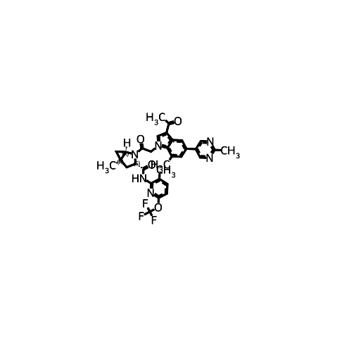 CC(=O)c1cn(CC(=O)N2[C@H](C(=O)Nc3nc(OC(F)(F)F)ccc3C)C[C@@]3(C)C[C@@H]23)c2c(C)cc(-c3cnc(C)nc3)cc12